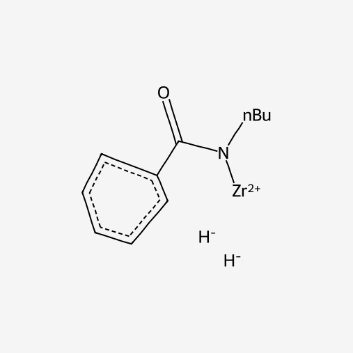 CCCC[N]([Zr+2])C(=O)c1ccccc1.[H-].[H-]